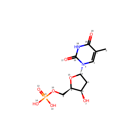 Cc1cn([C@@H]2C[C@@H](O)[C@@H](COP(=O)(O)O)O2)c(=O)[nH]c1=O